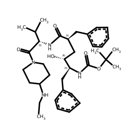 CCNC1CCN(C(=O)[C@@H](NC(=O)[C@@H](Cc2ccccc2)C[C@@H](O)[C@H](Cc2ccccc2)NC(=O)OC(C)(C)C)C(C)C)CC1